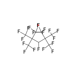 FC(C(C(F)(F)F)(C(F)(F)F)C(F)(F)F)C(C(F)(F)F)(C(F)(F)F)C(F)(F)F